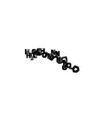 C[Si](C)(C)CCOCn1ccc2c(N3CCC4C3CCCN4C(=O)OCc3ccccc3)ncnc21